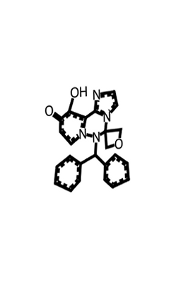 O=c1ccn2c(c1O)-c1nccn1C1(COC1)N2C(c1ccccc1)c1ccccc1